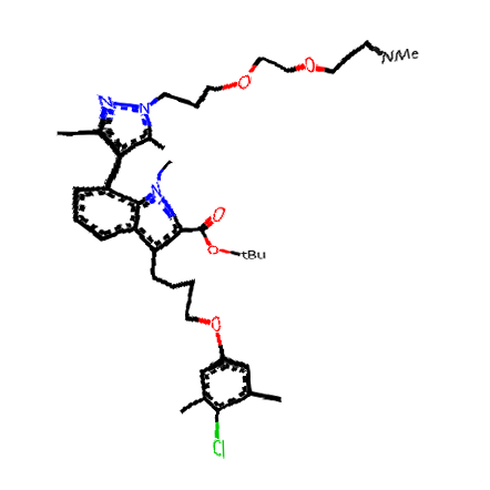 CNCCOCCOCCCn1nc(C)c(-c2cccc3c(CCCOc4cc(C)c(Cl)c(C)c4)c(C(=O)OC(C)(C)C)n(C)c23)c1C